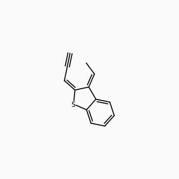 C#C/C=c1/sc2ccccc2/c1=C/C